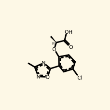 Cc1noc(-c2cc(Cl)ccc2O[C@@H](C)C(=O)O)n1